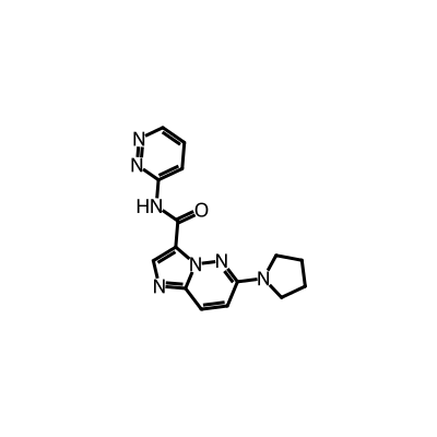 O=C(Nc1cccnn1)c1cnc2ccc(N3CCCC3)nn12